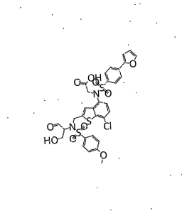 COc1ccc(S(=O)(=O)N(Cc2cc3c(N(CC(=O)O)S(=O)(=O)c4ccc(-c5ccco5)cc4)ccc(Cl)c3s2)C(C=O)CO)cc1